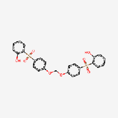 O=S(=O)(c1ccc(OCOc2ccc(S(=O)(=O)c3ccccc3O)cc2)cc1)c1ccccc1O